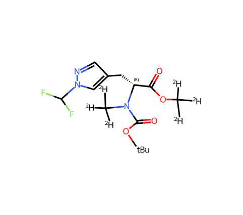 [2H]C([2H])([2H])OC(=O)[C@@H](Cc1cnn(C(F)F)c1)N(C(=O)OC(C)(C)C)C([2H])([2H])[2H]